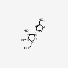 O=[N+]([O-])c1nc([C@@H]2O[C@H](CO)[C@@H](Br)[C@@H]2O)c[nH]1